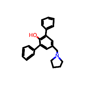 Oc1c(-c2ccccc2)cc(CN2CCCC2)cc1-c1ccccc1